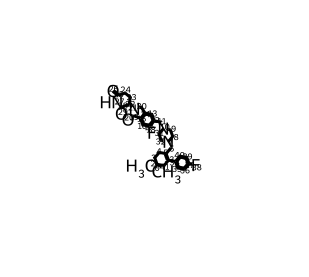 CC1(C)CCC(CN2CCN(Cc3cc4c(cc3F)C(=O)N(C3CCC(=O)NC3=O)C4)CC2)=C(c2ccc(F)cc2)C1